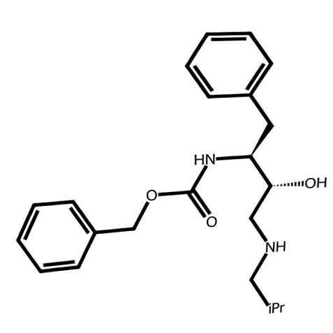 CC(C)CNC[C@@H](O)[C@H](Cc1ccccc1)NC(=O)OCc1ccccc1